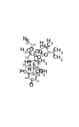 CC(C)C(OC(=O)O[C@]1(C(=O)OCC#N)[C@H](C)C[C@H]2[C@@H]3C[C@H](F)C4=CC(=O)C=C[C@]4(C)[C@@]3(F)[C@@H](O)C[C@@]21C)C(C)C